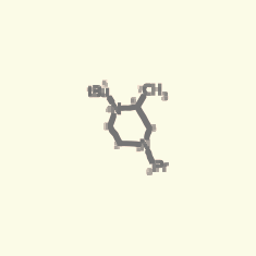 CC(C)N1CCN(C(C)(C)C)C(C)C1